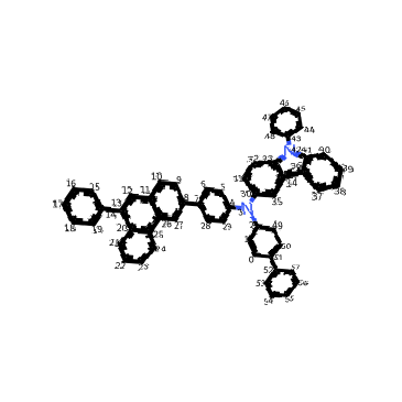 C1=CC(N(c2ccc(-c3ccc4cc(-c5ccccc5)c5ccccc5c4c3)cc2)c2ccc3c(c2)c2ccccc2n3-c2ccccc2)CC=C1c1ccccc1